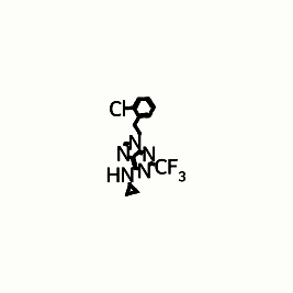 FC(F)(F)c1nc(NC2CC2)c2ncn(CCc3ccccc3Cl)c2n1